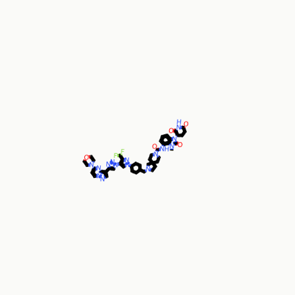 Cn1c(=O)n(C2CCC(=O)NC2=O)c2cccc(NC(=O)N3CCC4(CCN(CC5CCC(n6cc(-n7cc(-c8cnn9ccc(N%10CCOCC%10)nc89)nn7)c(C(F)F)n6)CC5)C4)CC3)c21